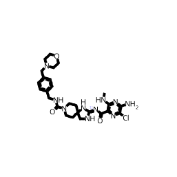 CNc1nc(N)c(Cl)nc1C(=O)/N=C1\NCC2(CCN(C(=O)NCc3ccc(CN4CCOCC4)cc3)CC2)N1